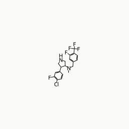 CN(Cc1ccc(C(F)(F)F)c(F)c1)C1CNCC1c1ccc(Cl)c(F)c1